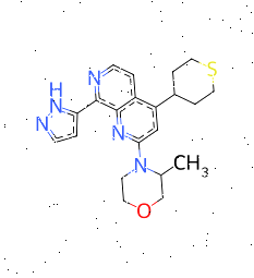 CC1COCCN1c1cc(C2CCSCC2)c2ccnc(-c3ccn[nH]3)c2n1